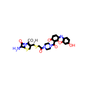 NC1C(=O)N2C(C(=O)O)=C(CSCC(=O)N3CCN(C(=O)c4c5oc6cc(O)ccc6nc-5ccc4=O)CC3)CSC12